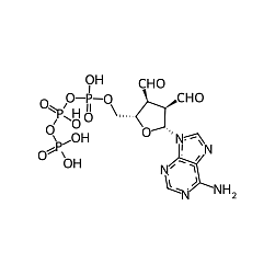 Nc1ncnc2c1ncn2[C@@H]1O[C@H](COP(=O)(O)OP(=O)(O)OP(=O)(O)O)[C@@H](C=O)[C@H]1C=O